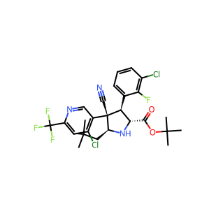 CC(C)(C)C[C@@H]1N[C@@H](C(=O)OC(C)(C)C)[C@H](c2cccc(Cl)c2F)[C@@]1(C#N)c1cnc(C(F)(F)F)cc1Cl